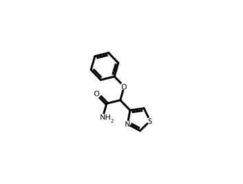 NC(=O)C(Oc1ccccc1)c1cscn1